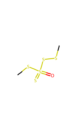 CSSS(=O)(=S)SC